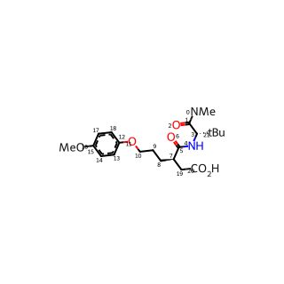 CNC(=O)[C@@H](NC(=O)[C@H](CCCOc1ccc(OC)cc1)CC(=O)O)C(C)(C)C